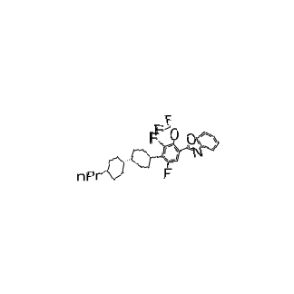 CCC[C@H]1CC[C@H](C2CCC(c3c(F)cc(-c4nc5ccccc5o4)c(OC(F)F)c3F)CC2)CC1